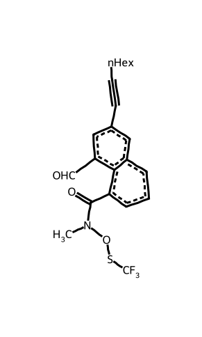 CCCCCCC#Cc1cc(C=O)c2c(C(=O)N(C)OSC(F)(F)F)cccc2c1